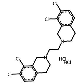 Cl.Cl.Clc1ccc2c(c1Cl)CN(CCN1CCc3ccc(Cl)c(Cl)c3C1)CC2